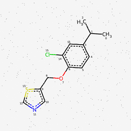 CC(C)c1ccc(OCc2cncs2)c(Cl)c1